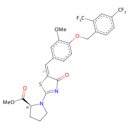 COC(=O)[C@@H]1CCCN1C1=NC(=O)/C(=C\c2ccc(OCc3ccc(C(F)(F)F)cc3C(F)(F)F)c(OC)c2)S1